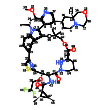 CCn1c(-c2cc([C@@H]3CCN4CCOC[C@@H]4C3)cnc2[C@H](C)OC)c2c3cc(ccc31)-c1csc(n1)[C@@H](OCC(F)F)[C@H](NC(=O)[C@H]1[C@H](C)[C@@H]1C)C(=O)N1CCC[C@H](N1)C(=O)OCC(C)(C)C2